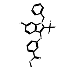 COC(=O)c1cccc(Sc2c(C(F)(F)F)n(Cc3ccccc3)c3cc(Cl)ccc23)c1